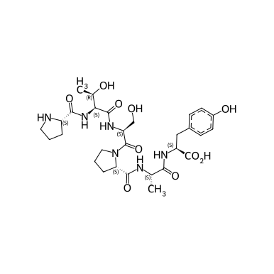 C[C@H](NC(=O)[C@@H]1CCCN1C(=O)[C@H](CO)NC(=O)[C@@H](NC(=O)[C@@H]1CCCN1)[C@@H](C)O)C(=O)N[C@@H](Cc1ccc(O)cc1)C(=O)O